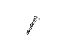 CCOC(=O)CC1CCN(CC2CC(c3ccc(C=NN4CCOCC4)cc3)=NO2)CC1